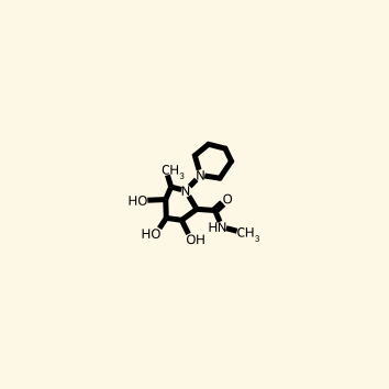 CNC(=O)C1C(O)C(O)C(O)C(C)N1N1CCCCC1